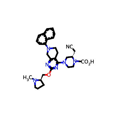 CN1CCC[C@@H]1COc1nc2c(c(N3CCN(C(=O)O)[C@@H](CC#N)C3)n1)CCN(c1cccc3ccccc13)C2